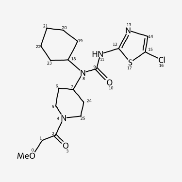 COCC(=O)N1CCC(N(C(=O)Nc2ncc(Cl)s2)C2CCCCC2)CC1